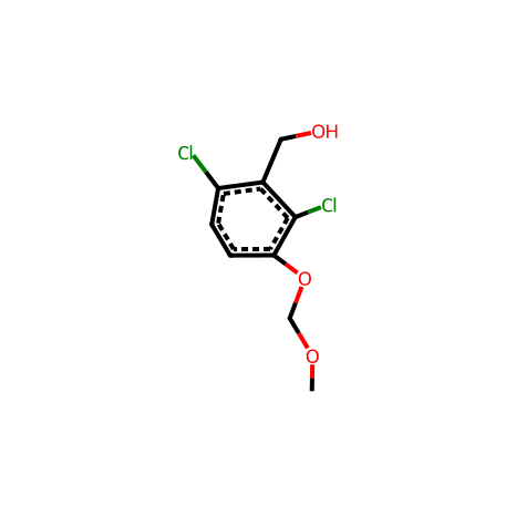 COCOc1ccc(Cl)c(CO)c1Cl